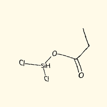 CCC(=O)O[SiH](Cl)Cl